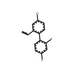 C=Cc1cc(Cl)ccc1-c1ccc(F)cc1F